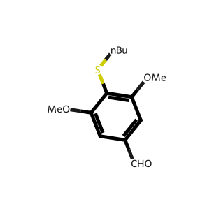 CCCCSc1c(OC)cc(C=O)cc1OC